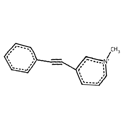 C[n+]1cccc(C#Cc2ccccc2)c1